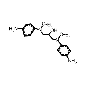 CCON(CC(O)CN(OCC)c1ccc(N)cc1)c1ccc(N)cc1